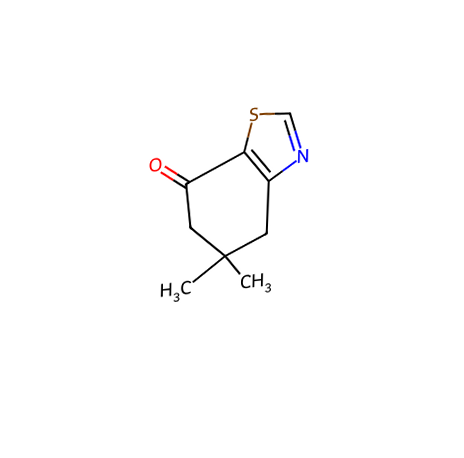 CC1(C)CC(=O)c2scnc2C1